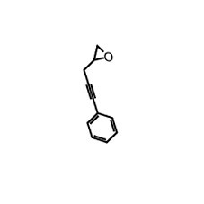 C(#Cc1ccccc1)CC1CO1